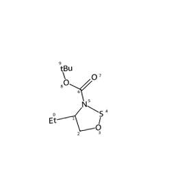 CCC1COSN1C(=O)OC(C)(C)C